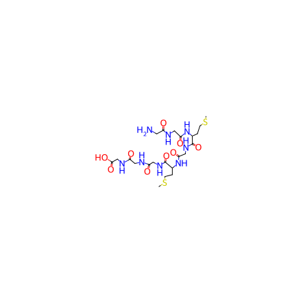 CSCCC(NC(=O)CNC(=O)CN)C(=O)NCC(=O)NC(CCSC)C(=O)NCC(=O)NCC(=O)NCC(=O)O